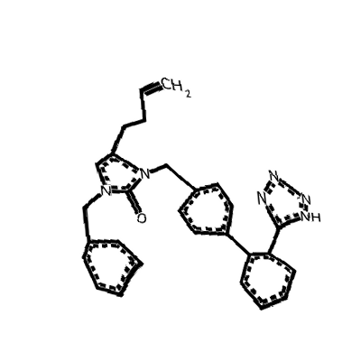 C=CCCc1cn(Cc2ccccc2)c(=O)n1Cc1ccc(-c2ccccc2-c2nnn[nH]2)cc1